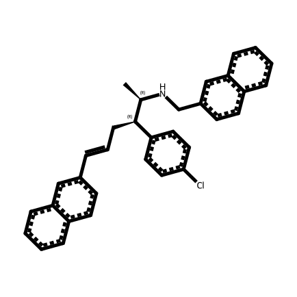 C[C@@H](NCc1ccc2ccccc2c1)[C@H](CC=Cc1ccc2ccccc2c1)c1ccc(Cl)cc1